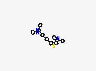 C1=C(c2ccc(-c3cc(-c4ccccc4)nc(-c4ccccc4)n3)cc2)CCC(c2ccc3sc4ccc5c(-c6ccccc6)nc6ccccc6c5c4c3c2)=C1